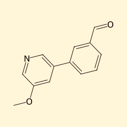 COc1cncc(-c2cccc(C=O)c2)c1